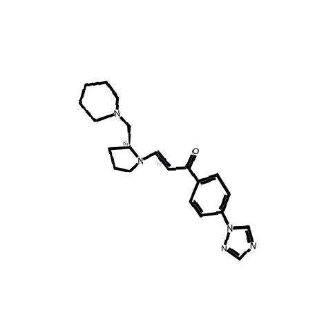 O=C(/C=C/N1CCC[C@H]1CN1CCCCC1)c1ccc(-n2cncn2)cc1